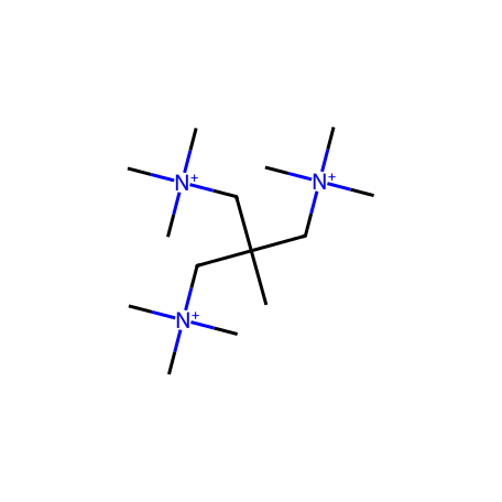 CC(C[N+](C)(C)C)(C[N+](C)(C)C)C[N+](C)(C)C